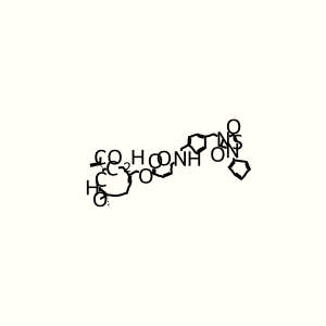 C=C(C(=O)O)[C@@H]1CC/C(COC(=O)/C=C\C(=O)NCc2ccc(Cn3c(=O)sn(-c4ccccc4)c3=O)cc2)=C\CC[C@@]2(C)O[C@H]2C1